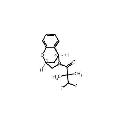 CC(C)(C(=O)N1C[C@@H]2C[C@H]1c1ccccc1O2)C(F)F